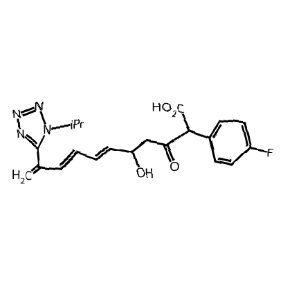 C=C(C=CC=CC(O)CC(=O)C(C(=O)O)c1ccc(F)cc1)c1nnnn1C(C)C